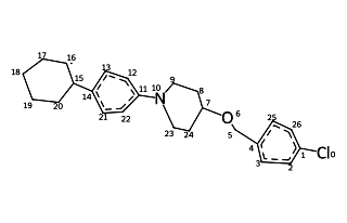 Clc1ccc(COC2CCN(c3ccc(C4[CH]CCCC4)cc3)CC2)cc1